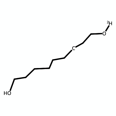 [2H]OCCCCCCCCCO